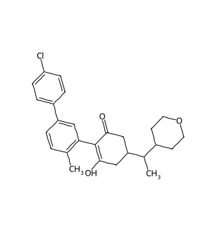 Cc1ccc(-c2ccc(Cl)cc2)cc1C1=C(O)CC(C(C)C2CCOCC2)CC1=O